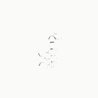 C=CCN(CC=C)C1C(N(C)C(=O)Cc2ccc(OC)c(Cl)c2)CCCC1(OC)OC